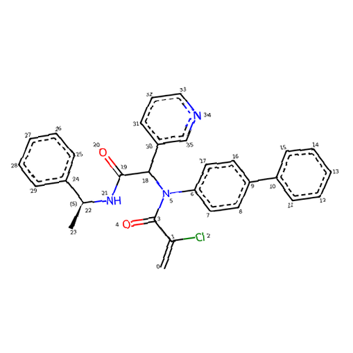 C=C(Cl)C(=O)N(c1ccc(-c2ccccc2)cc1)C(C(=O)N[C@@H](C)c1ccccc1)c1cccnc1